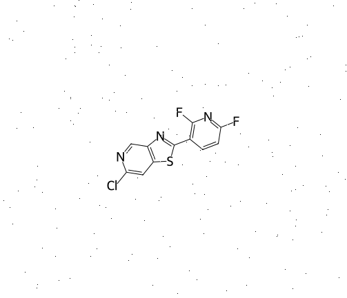 Fc1ccc(-c2nc3cnc(Cl)cc3s2)c(F)n1